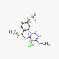 CCc1ncnc(NC(CC)c2ccc(OC(F)F)cc2)c1Cl